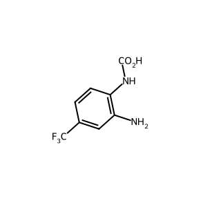 Nc1cc(C(F)(F)F)ccc1NC(=O)O